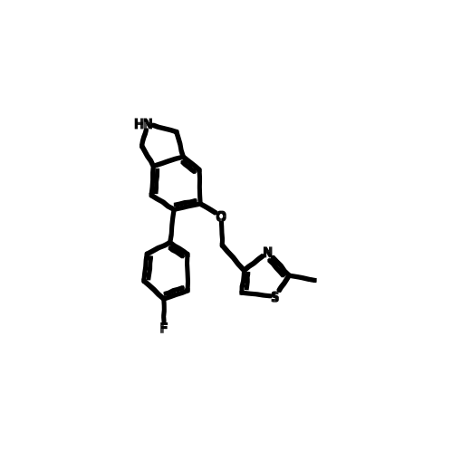 Cc1nc(COc2cc3c(cc2-c2ccc(F)cc2)CNC3)cs1